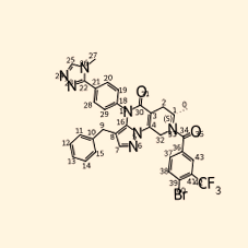 C[C@H]1Cc2c(n3ncc(Cc4ccccc4)c3n(-c3ccc(-c4nncn4C)cc3)c2=O)CN1C(=O)c1ccc(Br)c(C(F)(F)F)c1